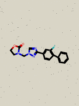 O=C1OCCN1Cn1cnc(-c2ccc(-c3ccccc3)c(F)c2)n1